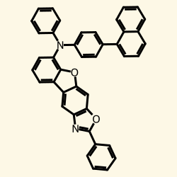 c1ccc(-c2nc3cc4c(cc3o2)oc2c(N(c3ccccc3)c3ccc(-c5cccc6ccccc56)cc3)cccc24)cc1